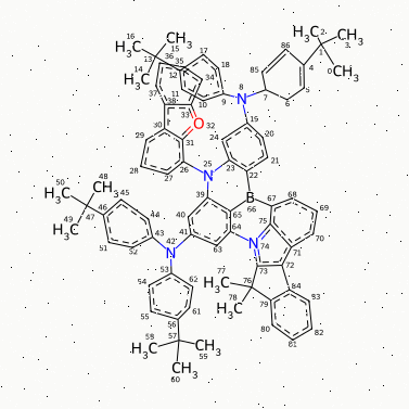 CC(C)(C)C1=CCC(N(c2ccc(C(C)(C)C)cc2)c2ccc3c(c2)N(c2cccc4c2oc2ccccc24)c2cc(N(c4ccc(C(C)(C)C)cc4)c4ccc(C(C)(C)C)cc4)cc4c2B3c2cccc3c5c(n-4c23)C(C)(C)c2ccccc2-5)C=C1